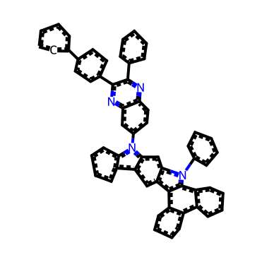 c1ccc(-c2ccc(-c3nc4cc(-n5c6ccccc6c6cc7c8c9ccccc9c9ccccc9c8n(-c8ccccc8)c7cc65)ccc4nc3-c3ccccc3)cc2)cc1